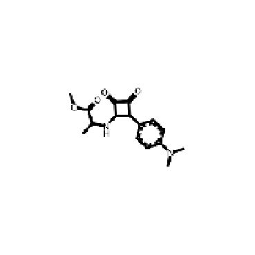 COC(=O)C(C)NC1C(=O)C(=O)C1c1ccc(N(C)C)cc1